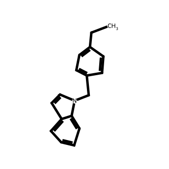 CCc1ccc(Cn2[c]cc3ccccc32)cc1